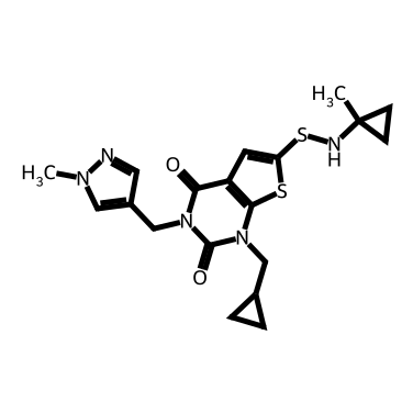 Cn1cc(Cn2c(=O)c3cc(SNC4(C)CC4)sc3n(CC3CC3)c2=O)cn1